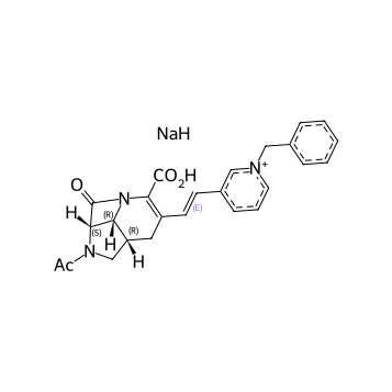 CC(=O)N1C[C@H]2CC(/C=C/c3ccc[n+](Cc4ccccc4)c3)=C(C(=O)O)N3C(=O)[C@@H]1[C@@H]23.[NaH]